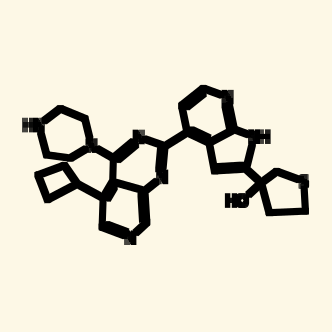 OC1(c2cc3c(-c4nc(N5CCNCC5)c5c(C6CCC6)cncc5n4)ccnc3[nH]2)CCSC1